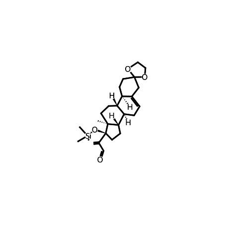 C=C(C=O)[C@@]1(O[Si](C)(C)C)CC[C@H]2[C@@H]3CC=C4CC5(CC[C@@H]4[C@H]3CC[C@@]21C)OCCO5